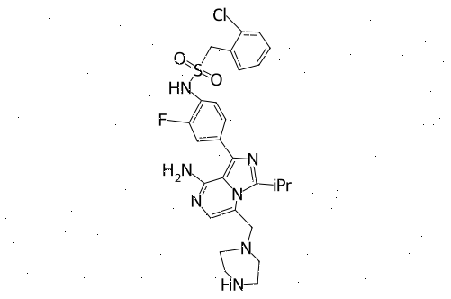 CC(C)c1nc(-c2ccc(NS(=O)(=O)Cc3ccccc3Cl)c(F)c2)c2c(N)ncc(CN3CCNCC3)n12